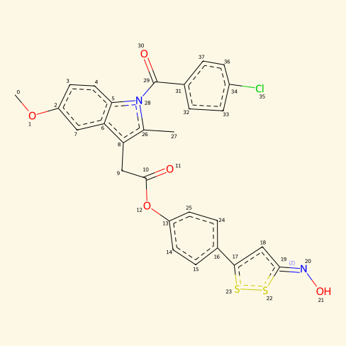 COc1ccc2c(c1)c(CC(=O)Oc1ccc(-c3c/c(=N/O)ss3)cc1)c(C)n2C(=O)c1ccc(Cl)cc1